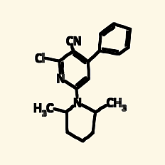 CC1CCCC(C)N1c1cc(-c2ccccc2)c(C#N)c(Cl)n1